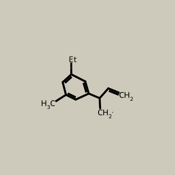 [CH2]C(C=C)c1cc(C)cc(CC)c1